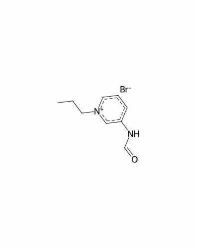 CCC[n+]1cccc(NC=O)c1.[Br-]